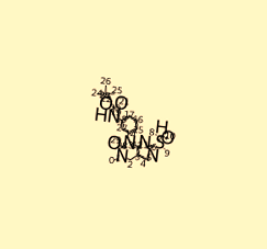 CN1Cc2cnc([SH](C)(C)=O)nc2N(c2cccc(NC(=O)OC(C)(C)C)c2)C1=O